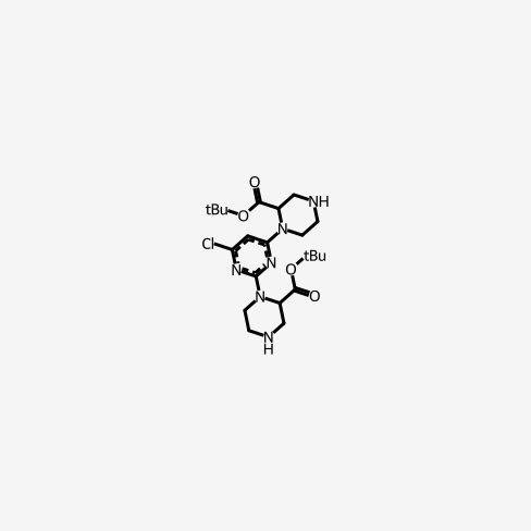 CC(C)(C)OC(=O)C1CNCCN1c1cc(Cl)nc(N2CCNCC2C(=O)OC(C)(C)C)n1